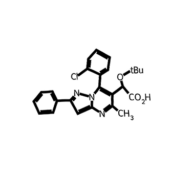 Cc1nc2cc(-c3ccccc3)nn2c(-c2ccccc2Cl)c1C(OC(C)(C)C)C(=O)O